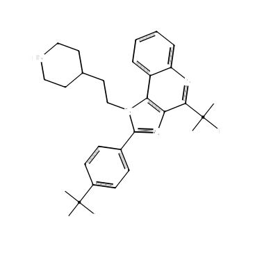 FC(F)(F)c1ccc(-c2nc3c(C(F)(F)F)nc4ccccc4c3n2CCC2CCNCC2)cc1